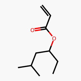 C=CC(=O)OC(CC)CC(C)C